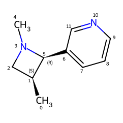 C[C@H]1CN(C)[C@H]1c1cccnc1